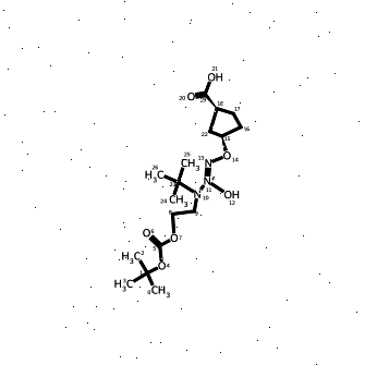 CC(C)(C)OC(=O)OCCN(/[N+](O)=N/O[C@@H]1CC[C@H](C(=O)O)C1)C(C)(C)C